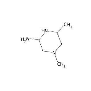 CC1CN(C)CC(N)N1